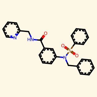 O=C(NCc1ccccn1)c1cccc(N(Cc2ccccc2)S(=O)(=O)c2ccccc2)c1